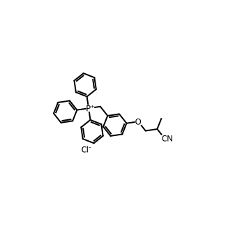 CC(C#N)COc1cccc(C[P+](c2ccccc2)(c2ccccc2)c2ccccc2)c1.[Cl-]